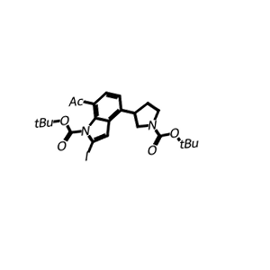 CC(=O)c1ccc(C2CCN(C(=O)OC(C)(C)C)C2)c2cc(I)n(C(=O)OC(C)(C)C)c12